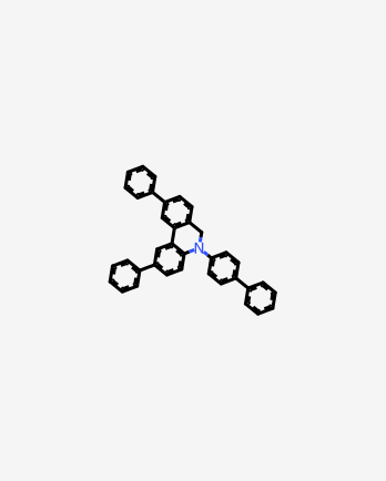 c1ccc(-c2ccc(N3Cc4ccc(-c5ccccc5)cc4-c4cc(-c5ccccc5)ccc43)cc2)cc1